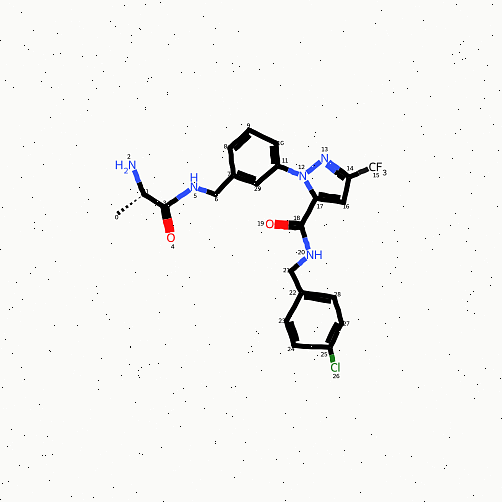 C[C@H](N)C(=O)NCc1cccc(-n2nc(C(F)(F)F)cc2C(=O)NCc2ccc(Cl)cc2)c1